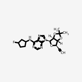 C#C[C@H]1O[C@@H](n2cnc3c(NC4CCC(F)C4)ncnc32)[C@H]2OC(C)(C)O[C@@H]21